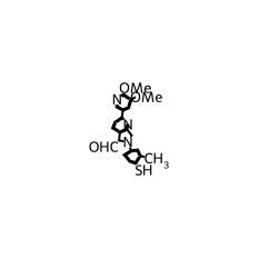 COc1cc(-c2ccc3c(n2)CN(c2ccc(S)c(C)c2)C3C=O)cnc1OC